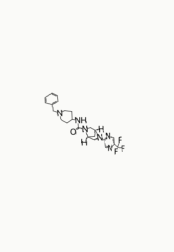 O=C(NC1CCN(Cc2ccccc2)CC1)N1C[C@H]2C[C@@H]1CN2c1cnc(C(F)(F)F)cn1